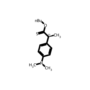 CCCCOC(=S)[C@@H](C)c1ccc(N(C)C)cc1